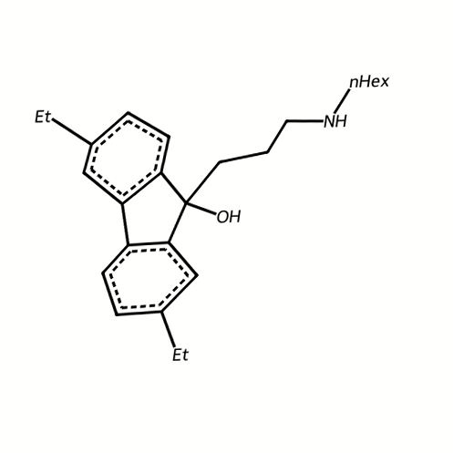 CCCCCCNCCCC1(O)c2ccc(CC)cc2-c2ccc(CC)cc21